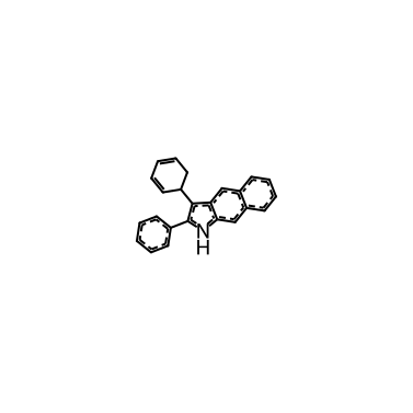 C1=CCC(c2c(-c3ccccc3)[nH]c3cc4ccccc4cc23)C=C1